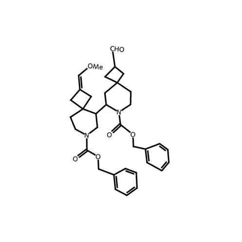 COC=C1CC2(CCN(C(=O)OCc3ccccc3)CC2C2CC3(CCN2C(=O)OCc2ccccc2)CC(C=O)C3)C1